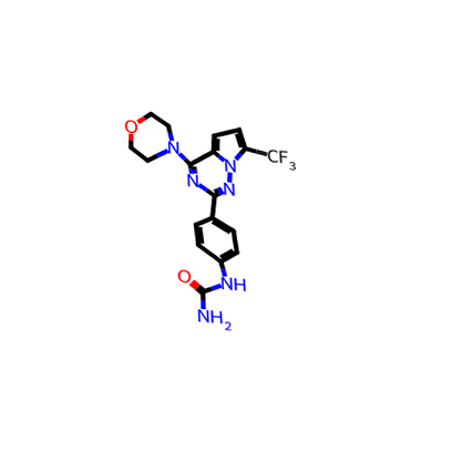 NC(=O)Nc1ccc(-c2nc(N3CCOCC3)c3ccc(C(F)(F)F)n3n2)cc1